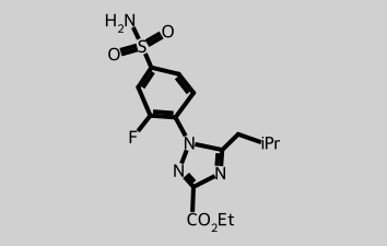 CCOC(=O)c1nc(CC(C)C)n(-c2ccc(S(N)(=O)=O)cc2F)n1